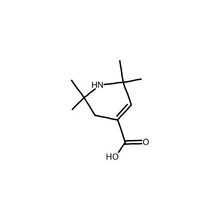 CC1(C)C=C(C(=O)O)CC(C)(C)N1